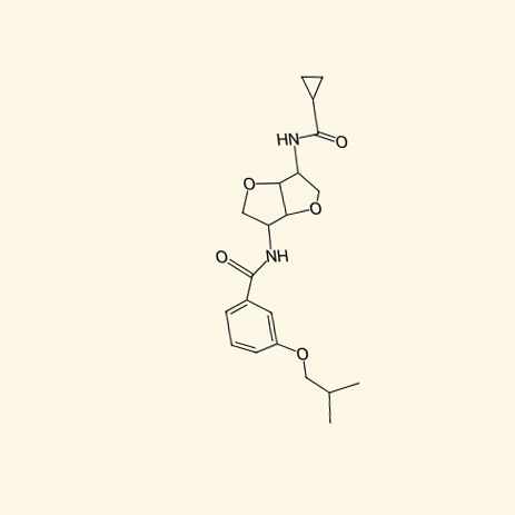 CC(C)COc1cccc(C(=O)NC2COC3C(NC(=O)C4CC4)COC23)c1